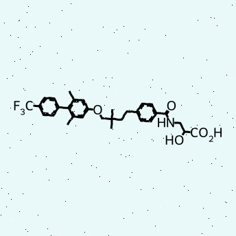 Cc1cc(OCC(C)(C)CCc2ccc(C(=O)NCC(O)C(=O)O)cc2)cc(C)c1-c1ccc(C(F)(F)F)cc1